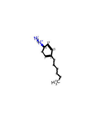 CCCCCCC1=CCC(=[N+]=[N-])C=C1